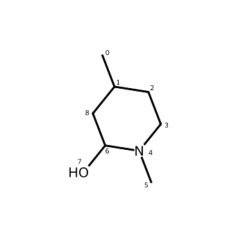 CC1CCN(C)C(O)C1